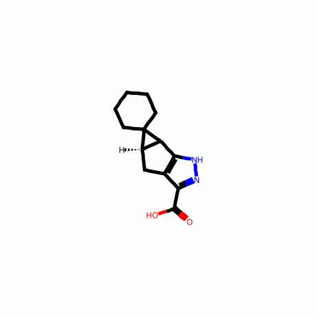 O=C(O)c1n[nH]c2c1C[C@@H]1C2C12CCCCC2